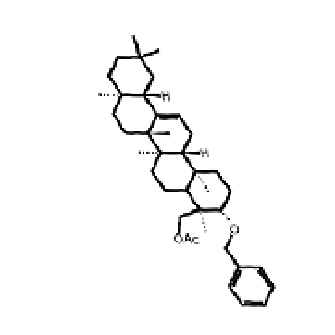 CC(=O)OC[C@@]1(C)C2CC[C@]3(C)[C@H](CC=C4[C@H]5CC(C)(C)CC[C@]5(C)CC[C@]43C)[C@@]2(C)CC[C@@H]1OCc1ccccc1